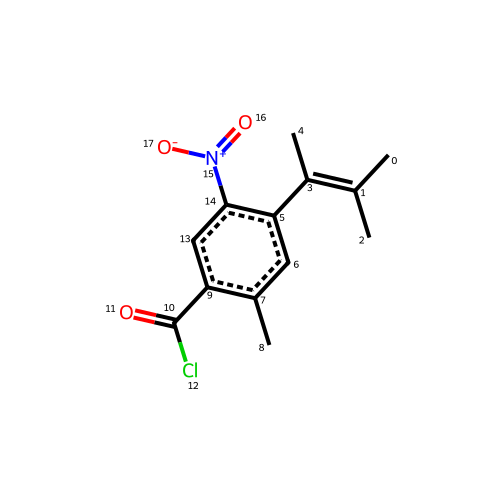 CC(C)=C(C)c1cc(C)c(C(=O)Cl)cc1[N+](=O)[O-]